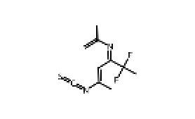 C=C(C)/N=C(\C=C(/C)N=C=S)C(C)(F)F